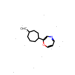 O=CC1CCCC(C2=CN=CC=CO2)CC1